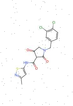 Cc1cc(NC(=O)C2C(=O)CN(Cc3ccc(Cl)c(Cl)c3)C2=O)sn1